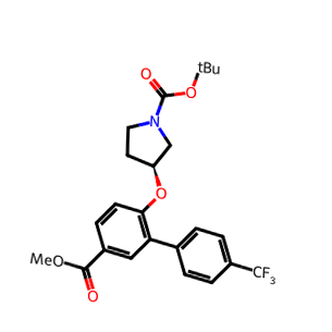 COC(=O)c1ccc(O[C@H]2CCN(C(=O)OC(C)(C)C)C2)c(-c2ccc(C(F)(F)F)cc2)c1